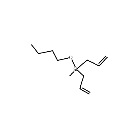 C=CC[Si](C)(CC=C)OCCCC